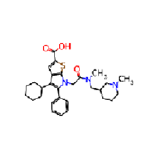 CN1CCCC(CN(C)C(=O)Cn2c(-c3ccccc3)c(C3CCCCC3)c3cc(C(=O)O)sc32)C1